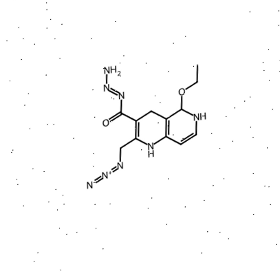 CCOC1NC=CC2=C1CC(C(=O)N=NN)=C(CN=[N+]=[N-])N2